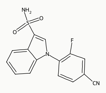 N#Cc1ccc(-n2cc(S(N)(=O)=O)c3ccccc32)c(F)c1